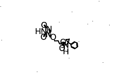 O=c1ncn(COCCCS(=O)(=O)NC2(c3ccccc3)CC2)c(=O)[nH]1